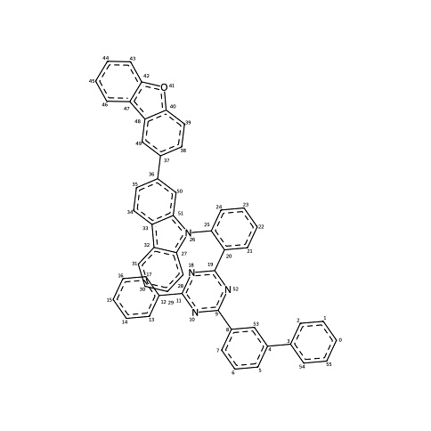 c1ccc(-c2cccc(-c3nc(-c4ccccc4)nc(-c4ccccc4-n4c5ccccc5c5ccc(-c6ccc7oc8ccccc8c7c6)cc54)n3)c2)cc1